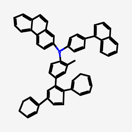 Cc1cc(-c2cc(C3=CCCC=C3)ccc2C2=CCC=CC=C2)ccc1N(c1ccc(-c2cccc3ccccc23)cc1)c1ccc2c(ccc3ccccc32)c1